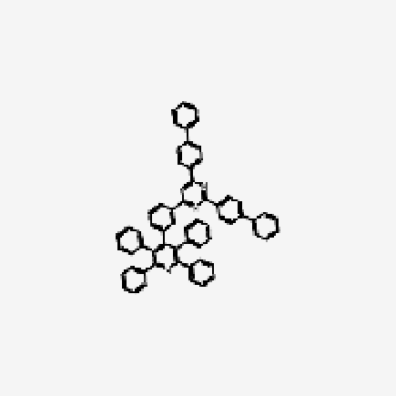 c1ccc(-c2ccc(-c3cc(-c4cccc(-c5c(-c6ccccc6)c(-c6ccccc6)nc(-c6ccccc6)c5-c5ccccc5)c4)nc(-c4ccc(-c5ccccc5)cc4)n3)cc2)cc1